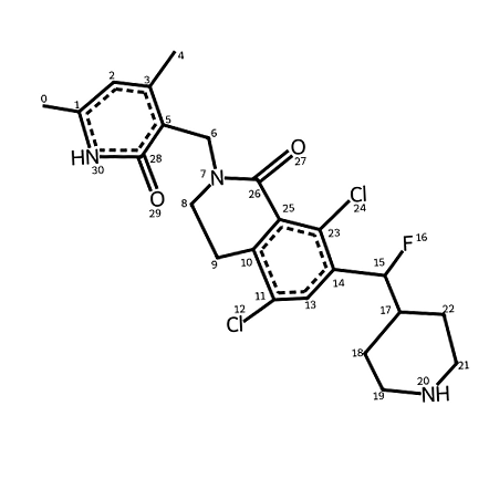 Cc1cc(C)c(CN2CCc3c(Cl)cc(C(F)C4CCNCC4)c(Cl)c3C2=O)c(=O)[nH]1